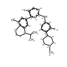 CC(C)N1CCOc2c(Cl)cc(-c3nc(Nc4ccc(C5CCN(C)CC5)c(F)c4)ncc3F)cc21